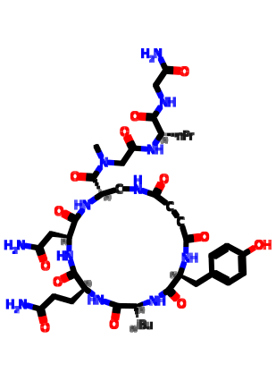 CCC[C@H](NC(=O)CN(C)C(=O)[C@@H]1CNC(=O)CCC(=O)N[C@@H](Cc2ccc(O)cc2)C(=O)N[C@@H]([C@@H](C)CC)C(=O)N[C@@H](CCC(N)=O)C(=O)N[C@@H](CC(N)=O)C(=O)N1)C(=O)NCC(N)=O